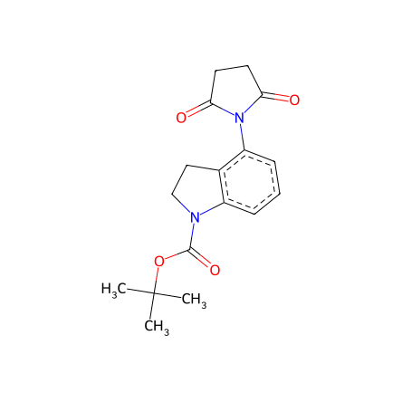 CC(C)(C)OC(=O)N1CCc2c1cccc2N1C(=O)CCC1=O